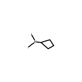 IN(I)C1CCC1